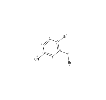 [C-]#[N+]c1ccc(Br)c(CBr)c1